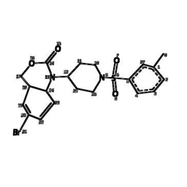 Cc1cccc(S(=O)(=O)N2CCC(N3C(=O)OCC4C=C(Br)C=CC43)CC2)c1